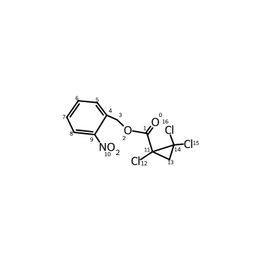 O=C(OCc1ccccc1[N+](=O)[O-])C1(Cl)CC1(Cl)Cl